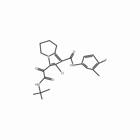 Cc1cc(NC(=O)c2c(Cl)c(C(=O)C(=O)NC(C)(C)C)n3c2CCCC3)ccc1F